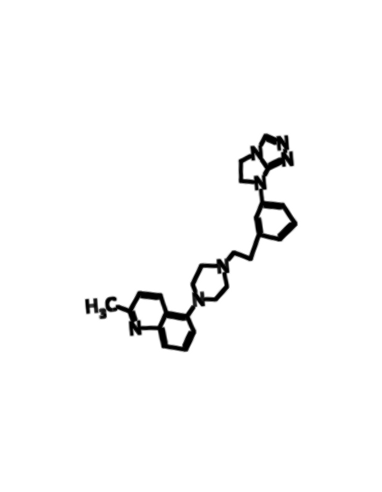 Cc1ccc2c(N3CCN(CCc4cccc(N5CCn6cnnc65)c4)CC3)cccc2n1